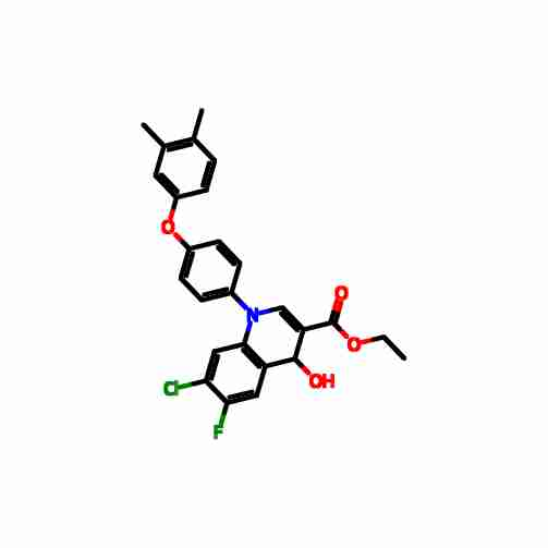 CCOC(=O)C1=CN(c2ccc(Oc3ccc(C)c(C)c3)cc2)c2cc(Cl)c(F)cc2C1O